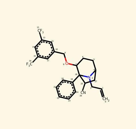 C=CCN1C2CCC(OCc3cc(C(F)(F)F)cc(C(F)(F)F)c3)C1(c1ccccc1)C(C#N)C2